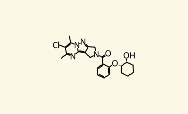 Cc1nc2c3c(nn2c(C)c1Cl)CN(C(=O)c1ccccc1O[C@H]1CCCC[C@@H]1O)C3